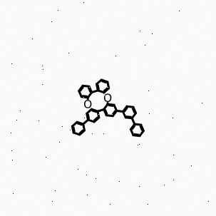 c1ccc(-c2cccc(-c3ccc4c(c3)Oc3ccccc3-c3ccccc3Oc3cc(-c5ccccc5)ccc3-4)c2)cc1